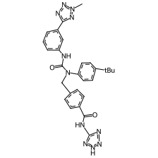 Cn1nnc(-c2cccc(NC(=O)N(Cc3ccc(C(=O)Nc4nn[nH]n4)cc3)c3ccc(C(C)(C)C)cc3)c2)n1